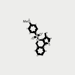 COc1ccc(S(=O)(=O)N2Cc3ccccc3-c3scc(C)c32)cc1